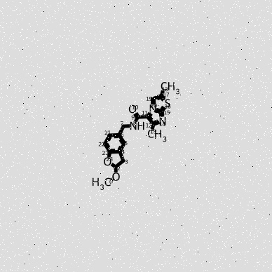 COC1Cc2cc(CNC(=O)c3c(C)nc4sc(C)cn34)ccc2O1